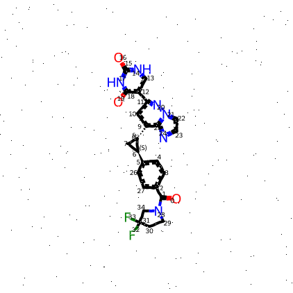 O=C(c1ccc([C@H]2C[C@@H]2c2cc(-c3c[nH]c(=O)[nH]c3=O)nn3ccnc23)cc1)N1CCC(F)(F)C1